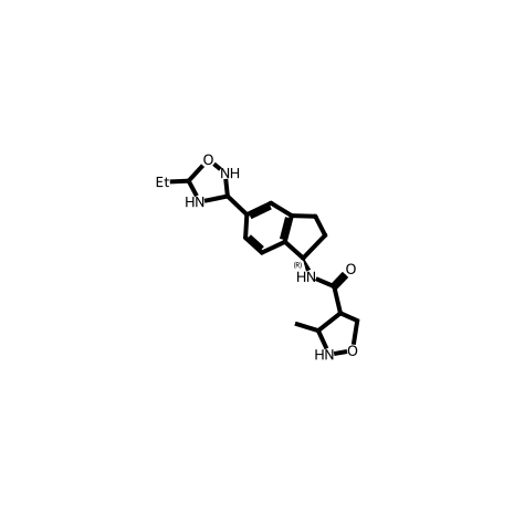 CCC1NC(c2ccc3c(c2)CC[C@H]3NC(=O)C2CONC2C)NO1